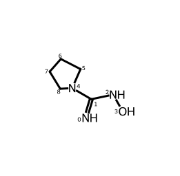 N=C(NO)N1CCCC1